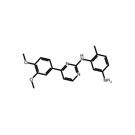 COc1ccc(-c2ccnc(Nc3cc(N)ccc3C)n2)cc1OC